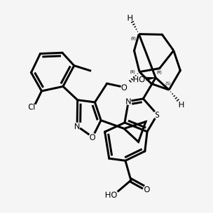 Cc1cccc(Cl)c1-c1noc(C2CC2)c1CO[C@@]12CC3C[C@H](C1)[C@@](O)(c1nc4ccc(C(=O)O)cc4s1)[C@@H](C3)C2